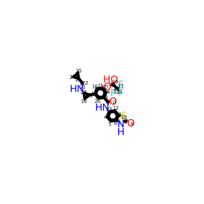 O=C(Nc1ccc2[nH]c(=O)sc2c1)c1cccc(C2CC2NCC2CC2)c1.O=C(O)C(F)(F)F